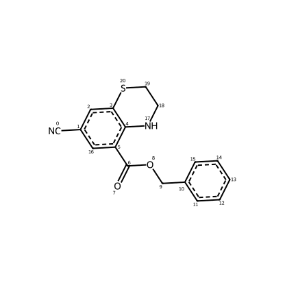 N#Cc1cc2c(c(C(=O)OCc3ccccc3)c1)NCCS2